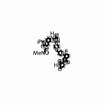 CNC(=O)COc1cc2cc(Nc3nc(N4CCN(CC5CCN(c6c(F)ccc7c6CN(C6CCC(=O)NC6=O)C7=O)CC5)CC4)ncc3Cl)ccc2n(C(C)C)c1=O